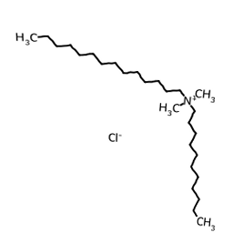 CCCCCCCCCCCCCC[N+](C)(C)CCCCCCCCCCC.[Cl-]